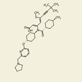 CS/C(C#CC(C)(C)C)=C\C(=C\C(=O)O)N(C(=O)[C@H]1CC[C@H](C)CC1)[C@H]1CC[C@H](Oc2cccc(CN3CCCC3)n2)CC1